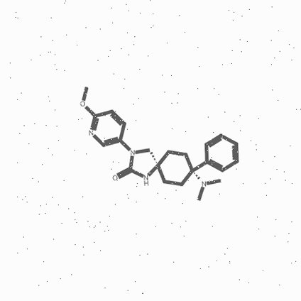 COc1ccc(N2C[C@]3(CC[C@@](c4ccccc4)(N(C)C)CC3)NC2=O)cn1